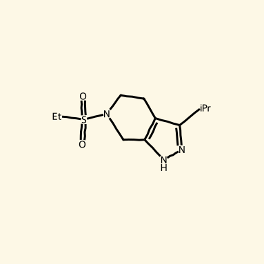 CCS(=O)(=O)N1CCc2c(C(C)C)n[nH]c2C1